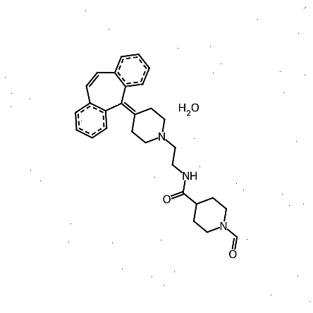 O.O=CN1CCC(C(=O)NCCN2CCC(=C3c4ccccc4C=Cc4ccccc43)CC2)CC1